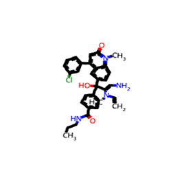 C=CN(C)/C(=C\N)C(O)(c1ccc(C(=O)NCCC)cc1)c1ccc2c(c1)c(-c1cccc(Cl)c1)cc(=O)n2C